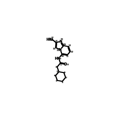 O=C(CC1CCCCC1)Nc1cccc2n[c]([RaH])cn12